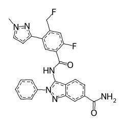 Cn1ccc(-c2cc(C(=O)Nc3c4ccc(C(N)=O)cc4nn3-c3ccccc3)c(F)cc2CF)n1